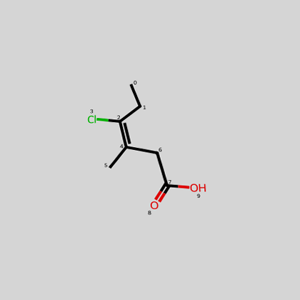 CCC(Cl)=C(C)CC(=O)O